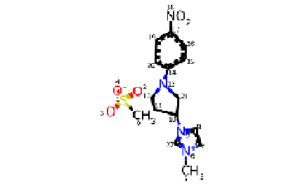 CS(=O)(=O)[O-].C[n+]1ccn([C@H]2CCN(c3ccc([N+](=O)[O-])cc3)C2)c1